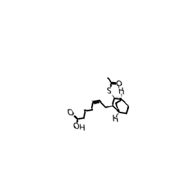 CC(=O)S[C@@H]1[C@H]2CC[C@H](C2)[C@H]1C/C=C\CCCC(=O)O